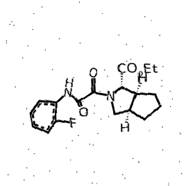 CCOC(=O)[C@@H]1[C@H]2CCC[C@H]2CN1C(=O)C(=O)Nc1ccccc1F